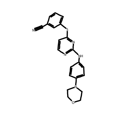 N#Cc1cccc(Sc2ccnc(Nc3ccc(N4CCOCC4)cc3)n2)c1